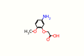 COc1ccc(N)cc1OCC(=O)O